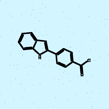 O=C(Cl)c1ccc(-c2cc3ccccc3[nH]2)cc1